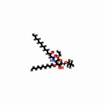 C/C=C\O[C@H]1O[C@H](CO[Si](C)(C)C(C)(C)C)[C@@H](O)[C@H](OCCCCCCCCCC)[C@H]1NC(=O)CC(=O)CCCCCCCCCCC